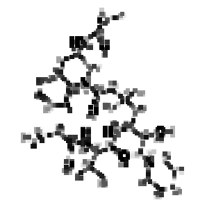 COC(=O)NC1Cc2ccccc2N(C(=O)CC(C)(C)CC(NC(=O)C(NC(=O)CN)C(C)C)C(O)CN2CCCCC2)C1